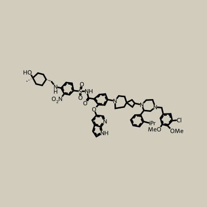 COc1cc(CN2CCN(C3CC4(CCN(c5ccc(C(=O)NS(=O)(=O)c6ccc(NC[C@H]7CC[C@](C)(O)CC7)c([N+](=O)[O-])c6)c(Oc6cnc7[nH]ccc7c6)c5)CC4)C3)C(c3ccccc3C(C)C)C2)cc(Cl)c1OC